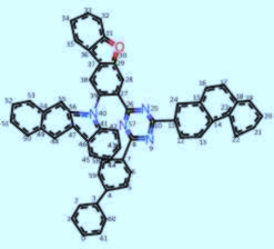 c1ccc(-c2ccc(-c3nc(-c4ccc5c(ccc6ccccc65)c4)nc(-c4cc5oc6ccccc6c5cc4-n4c5ccccc5c5cc6ccccc6cc54)n3)cc2)cc1